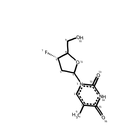 Cc1cn(C2C[C@H](F)C(CO)O2)c(=O)[nH]c1=O